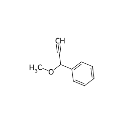 C#CC(OC)c1ccccc1